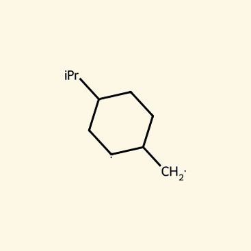 [CH2]C1[CH]CC(C(C)C)CC1